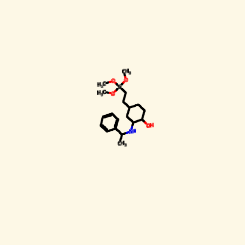 CO[Si](CCC1CCC(O)C(NC(C)c2ccccc2)C1)(OC)OC